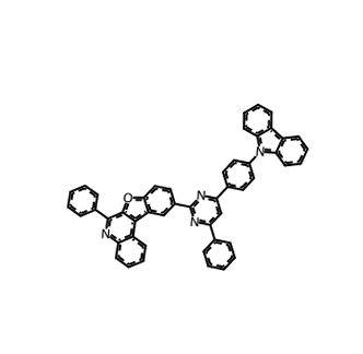 c1ccc(-c2cc(-c3ccc(-n4c5ccccc5c5ccccc54)cc3)nc(-c3ccc4oc5c(-c6ccccc6)nc6ccccc6c5c4c3)n2)cc1